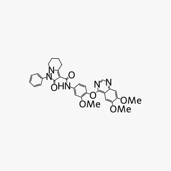 COc1cc2ncnc(Oc3ccc(NC(=O)c4c5n(n(-c6ccccc6)c4=O)CCCC5)cc3OC)c2cc1OC